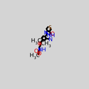 COC(=O)NCCOC(C)(C)c1ccc(-c2nc3c(c(=O)[nH]2)CSCC3)c(C#N)c1